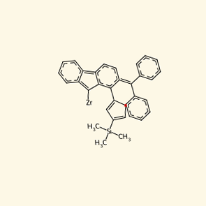 C[Si](C)(C)C1=CCC(c2c3c(ccc2=C(c2ccccc2)c2ccccc2)=c2ccccc2=[C]3[Zr])=C1